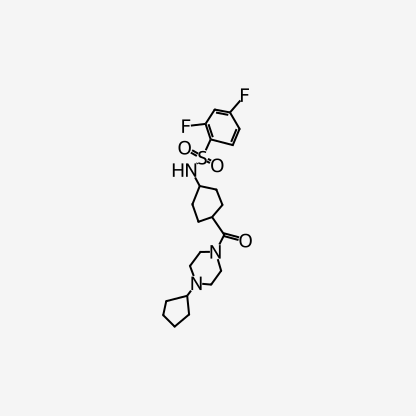 O=C(C1CCC(NS(=O)(=O)c2ccc(F)cc2F)CC1)N1CCN(C2CCCC2)CC1